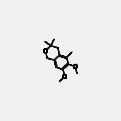 COc1cc2c(c(C)c1OC)CC(C)(C)OC2